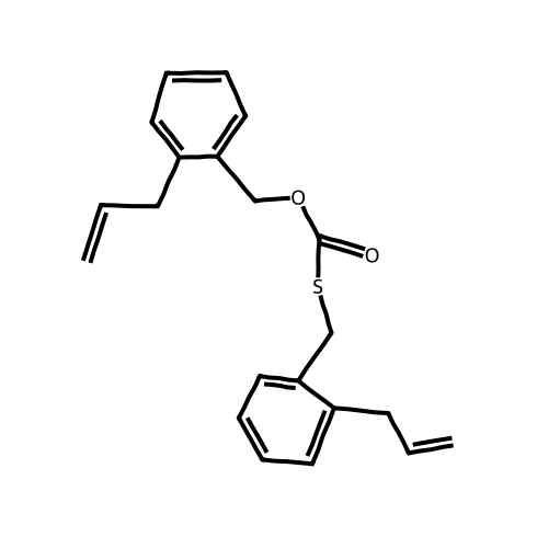 C=CCc1ccccc1COC(=O)SCc1ccccc1CC=C